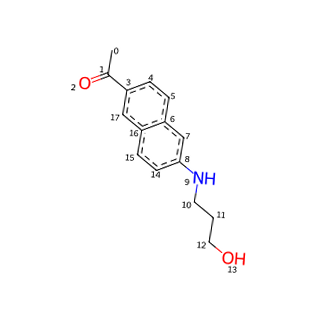 CC(=O)c1ccc2cc(NCCCO)ccc2c1